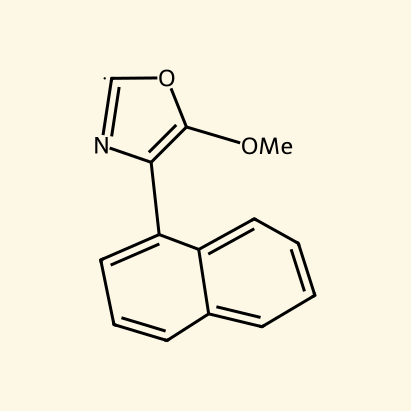 COc1o[c]nc1-c1cccc2ccccc12